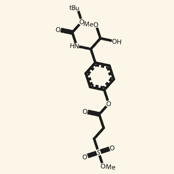 COC(O)C(NC(=O)OC(C)(C)C)c1ccc(OC(=O)CCS(=O)(=O)OC)cc1